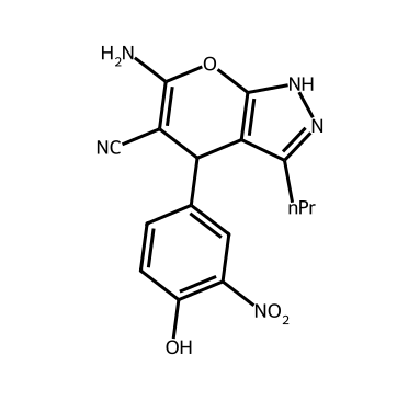 CCCc1n[nH]c2c1C(c1ccc(O)c([N+](=O)[O-])c1)C(C#N)=C(N)O2